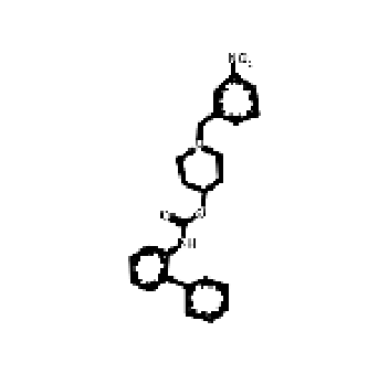 O=C(Nc1ccccc1-c1ccccc1)OC1CCN(Cc2cccc([N+](=O)[O-])c2)CC1